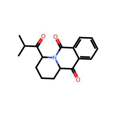 CC(C)C(=O)C1CCCC2C(=O)c3ccccc3C(=O)N21